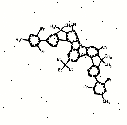 CCC(CC)(CC)c1cc2c3c4c(c(C#N)cc3n3c5cc(C#N)c6c(c5c(c1)c23)-c1ccc(-c2c(C(C)C)cc(C)cc2C(C)C)cc1C6(C)C)C(C)(C)c1cc(-c2c(C(C)C)cc(C)cc2C(C)C)ccc1-4